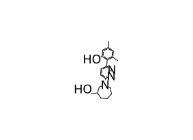 Cc1cc(C)c(-c2ccc(N3CCCCC(CO)C3)nn2)c(O)c1